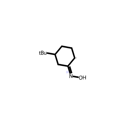 CC(C)(C)C1CC[CH]/C(=N\O)C1